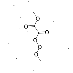 COOOC(=O)C(=O)OC